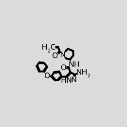 C=CC(=O)N1CCC[C@@H](NC(=O)c2c(N)n[nH]c2-c2ccc(Oc3ccccc3)cc2)C1